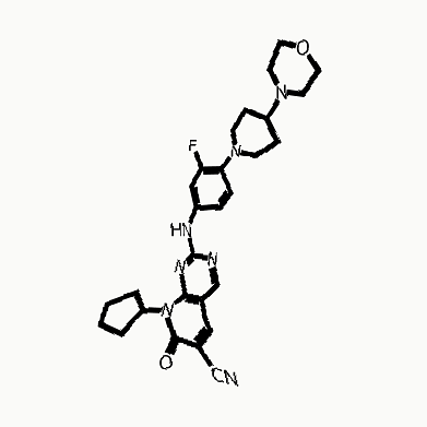 N#Cc1cc2cnc(Nc3ccc(N4CCC(N5CCOCC5)CC4)c(F)c3)nc2n(C2CCCC2)c1=O